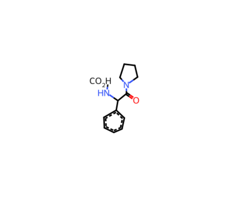 O=C(O)NC(C(=O)N1CCCC1)c1ccccc1